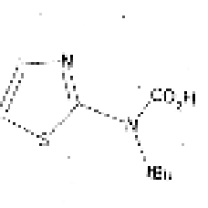 CC(C)(C)N(C(=O)O)c1nccs1